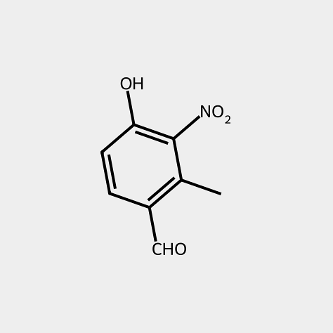 Cc1c(C=O)ccc(O)c1[N+](=O)[O-]